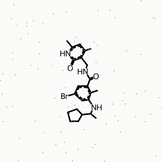 Cc1cc(C)c(CNC(=O)c2cc(Br)cc(NC(C)C3CCCC3)c2C)c(=O)[nH]1